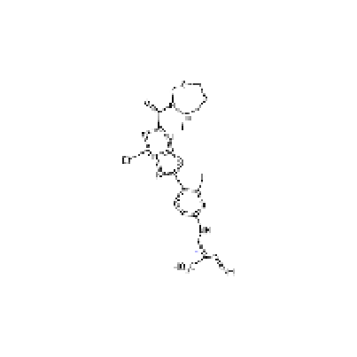 CCc1cc(C(=O)N2CCCCC[C@H]2C)nc2cc(-c3ccc(N/C=C(\C=N)C(=O)O)cc3F)nn12